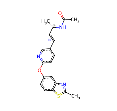 CC(=O)N[C@@H](C)/C=C/c1ccc(Oc2ccc3sc(C)nc3c2)nc1